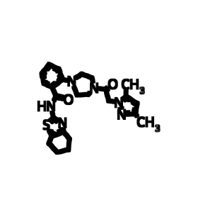 Cc1cc(C)n(CC(=O)N2CCN(c3ccccc3C(=O)Nc3nc4c(s3)CCCC4)CC2)n1